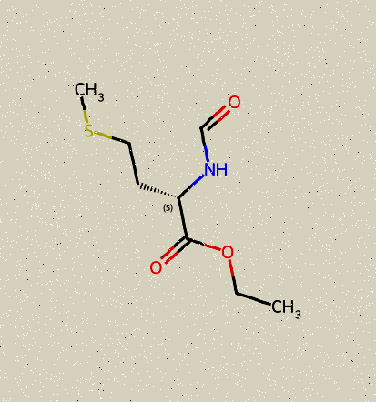 CCOC(=O)[C@H](CCSC)NC=O